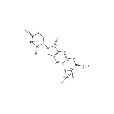 O=C1CCC(N2Cc3ccc(CN(C(=O)O)C45CC(F)(C4)C5)cc3C2=O)C(=O)N1